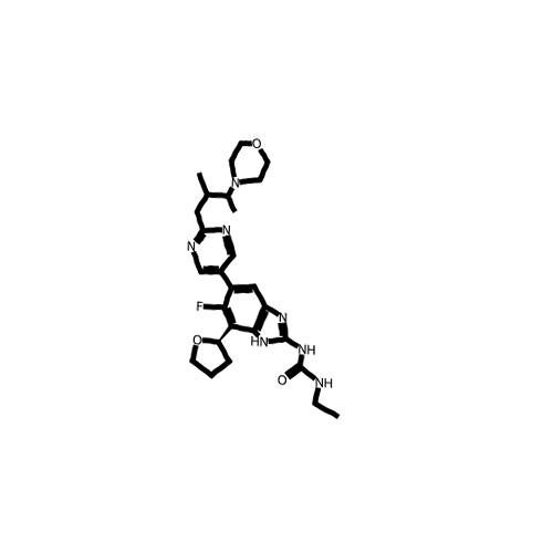 CCNC(=O)Nc1nc2cc(-c3cnc(CC(C)C(C)N4CCOCC4)nc3)c(F)c([C@H]3CCCO3)c2[nH]1